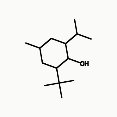 CC1CC(C(C)C)C(O)C(C(C)(C)C)C1